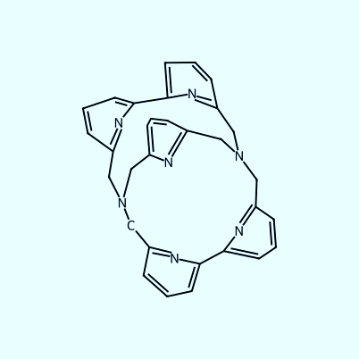 c1cc2nc(c1)CN1Cc3cccc(n3)-c3cccc(n3)CN(C2)Cc2cccc(n2)-c2cccc(n2)C1